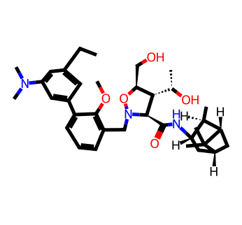 CCc1cc(-c2cccc(CN3O[C@@H](CO)[C@H]([C@H](C)O)[C@H]3C(=O)N[C@H]3C[C@H]4C[C@@H]([C@@H]3C)C4(C)C)c2OC)cc(N(C)C)c1